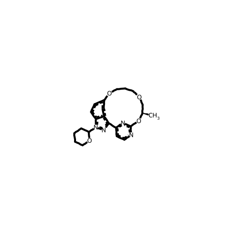 C[C@@H]1COCCCOc2ccc3c(c2)c(nn3C2CCCCO2)-c2ccnc(n2)O1